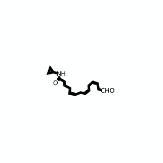 O=CC/C=C\C/C=C\C/C=C\CCCC(=O)NC1CC1